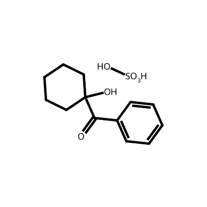 O=C(c1ccccc1)C1(O)CCCCC1.O=S(=O)(O)O